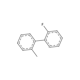 Cc1ccccc1-c1[c]cccc1F